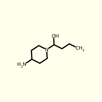 CCCC(O)N1CCC(N)CC1